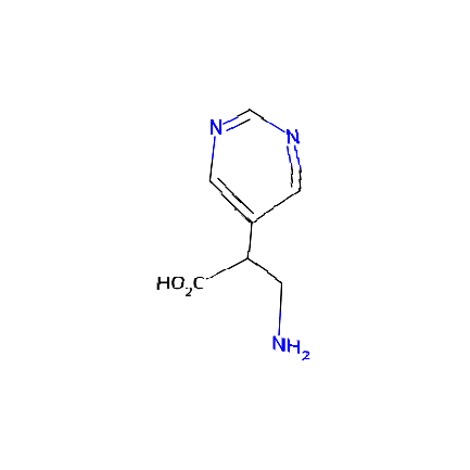 NCC(C(=O)O)c1cncnc1